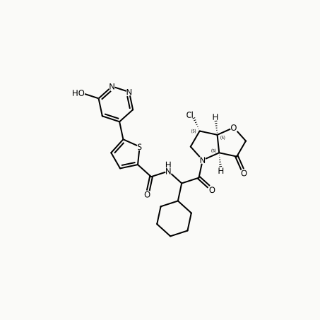 O=C(NC(C(=O)N1C[C@H](Cl)[C@H]2OCC(=O)[C@H]21)C1CCCCC1)c1ccc(-c2cnnc(O)c2)s1